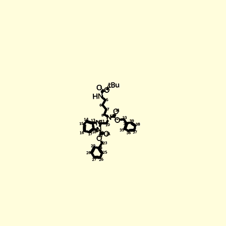 CC(C)(C)OC(=O)NCCCCN(Cc1nc2ccccc2n1C(=O)OCc1ccccc1)C(=O)OCc1ccccc1